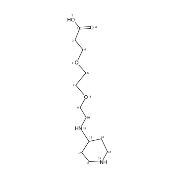 O=C(O)CCOCCOCCNC1CCNCC1